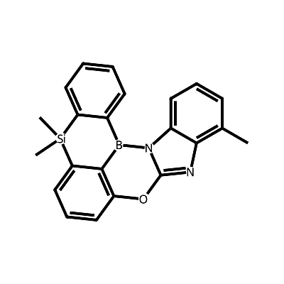 Cc1cccc2c1nc1n2B2c3ccccc3[Si](C)(C)c3cccc(c32)O1